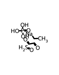 C[CH2][Na].O=CC=O.O=P(O)(O)O.O=[SH2]